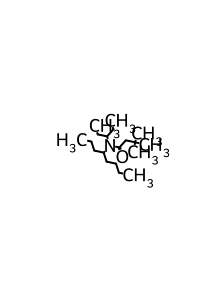 CCCCC(CCC)N(C(=O)CC(C)(C)C)C(CC)CC